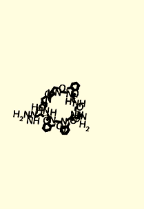 N=C(N)NCCC[C@@H]1NC(=O)[C@@H]2CCCN2C(=O)[C@H]2CCCN2C(=O)[C@H](Cc2ccccc2)NC(=O)CNC(=O)[C@H](CC(N)=O)NC(=O)[C@H](Cc2ccccc2)NC(=O)[C@H](Cc2ccccc2)NC1=O